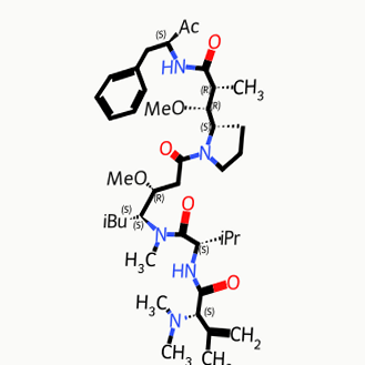 C=C(C)[C@@H](C(=O)N[C@H](C(=O)N(C)[C@@H]([C@@H](C)CC)[C@@H](CC(=O)N1CCC[C@H]1[C@H](OC)[C@@H](C)C(=O)N[C@@H](Cc1ccccc1)C(C)=O)OC)C(C)C)N(C)C